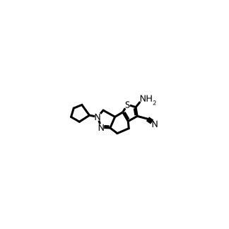 N#Cc1c(N)sc2c1CCC1=NN(C3CCCC3)CC12